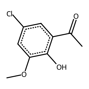 COc1cc(Cl)cc(C(C)=O)c1O